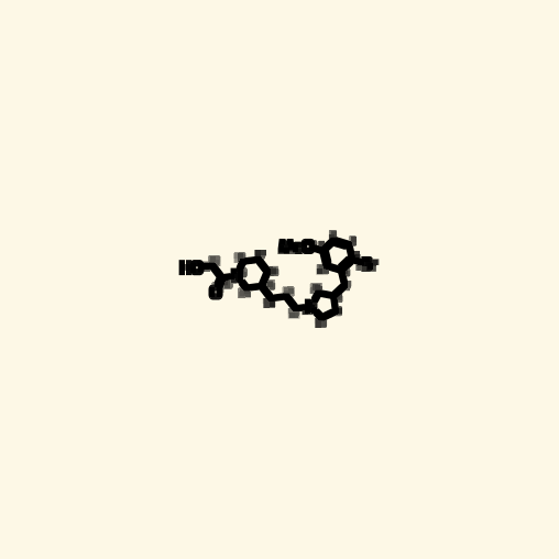 COc1ccc(Br)c(CC2CCN(CCCC3CCCN(C(=O)CO)C3)C2)c1